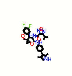 Cc1c[nH]c(C)c1-c1ccc(NC(=O)[C@@H](NC(=O)c2nonc2C(C)C)C2c3cc(F)c(F)cc3OCC23CC3)cc1